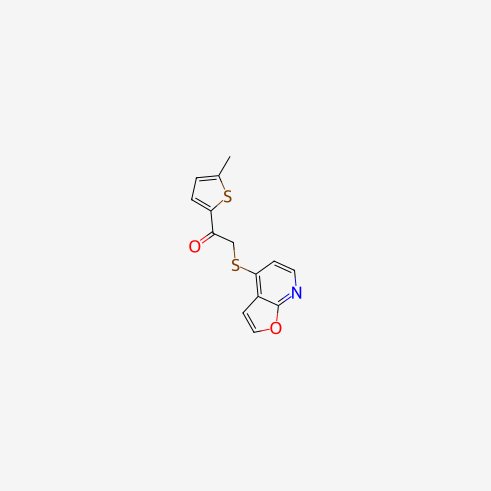 Cc1ccc(C(=O)CSc2ccnc3occc23)s1